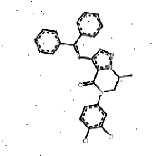 C[C@H]1CN(c2ccc(Cl)c(Cl)c2)C(=O)c2c(N=C(c3ccccc3)c3ccccc3)cnn21